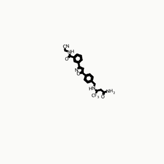 N#CCNC(=O)c1cccc(-c2cc(-c3ccc(CNC(CC(N)=O)C(F)(F)F)cc3)on2)c1